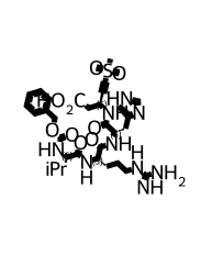 CC(C)[C@H](NC(=O)OCc1ccccc1)C(=O)N[C@@H](CCCNC(=N)N)C(=O)N[C@@H](Cc1c[nH]cn1)C(=O)N[C@H](C#CS(C)(=O)=O)CC(=O)O